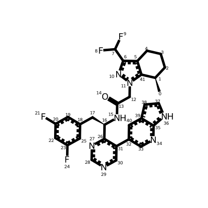 C[C@@H]1CCCc2c(C(F)F)nn(CC(=O)N[C@H](Cc3cc(F)cc(F)c3)c3ncncc3-c3cnc4[nH]ccc4c3)c21